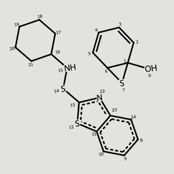 OC12C=CC=CC1S2.c1ccc2sc(SNC3CCCCC3)nc2c1